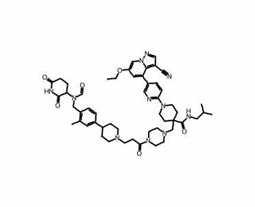 CCOc1cc(-c2ccc(N3CCC(CN4CCN(C(=O)CCN5CCC(c6ccc(CN(C=O)C7CCC(=O)NC7=O)c(C)c6)CC5)CC4)(C(=O)NCC(C)C)CC3)nc2)c2c(C#N)cnn2c1